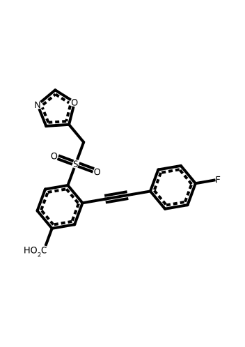 O=C(O)c1ccc(S(=O)(=O)Cc2cnco2)c(C#Cc2ccc(F)cc2)c1